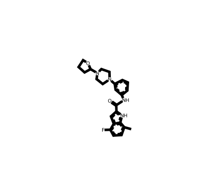 Cc1ccc(F)c2cc(C(=O)Nc3cccc(N4CCN(C5CCCO5)CC4)c3)[nH]c12